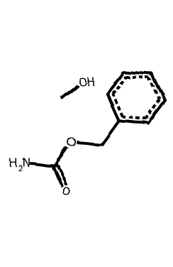 CO.NC(=O)OCc1ccccc1